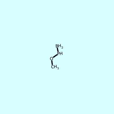 BPOC